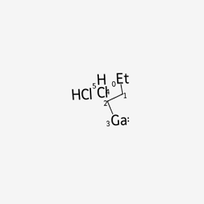 CCC[CH2][Ga].Cl.Cl